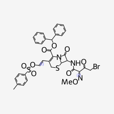 CO/N=C(/C(=O)CBr)C(=O)NC1C(=O)N2C(C(=O)OC(c3ccccc3)c3ccccc3)=C(/C=C/OS(=O)(=O)c3ccc(C)cc3)CSC12